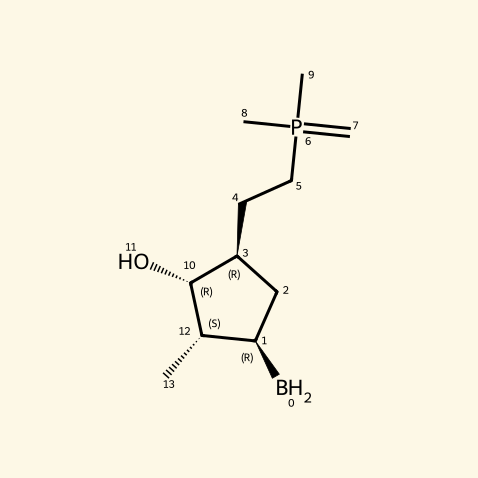 B[C@@H]1C[C@H](CCP(=C)(C)C)[C@@H](O)[C@H]1C